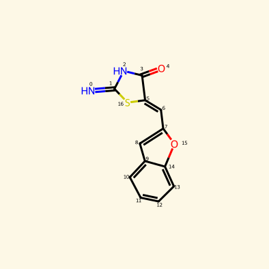 N=C1NC(=O)/C(=C/c2cc3ccccc3o2)S1